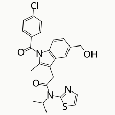 Cc1c(CC(=O)N(c2nccs2)C(C)C)c2cc(CO)ccc2n1C(=O)c1ccc(Cl)cc1